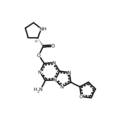 Nc1nc(OC(=O)[C@@H]2CCCN2)nc2nc(-c3ccco3)nn12